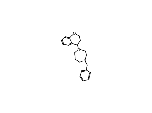 c1ccc(CN2CCCN(C3CCOc4ccccc43)CC2)cc1